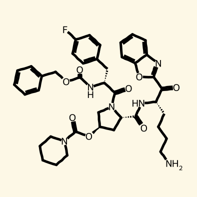 NCCCC[C@H](NC(=O)[C@@H]1C[C@@H](OC(=O)N2CCCCC2)CN1C(=O)[C@@H](Cc1ccc(F)cc1)NC(=O)OCc1ccccc1)C(=O)c1nc2ccccc2o1